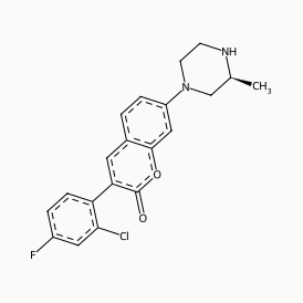 C[C@H]1CN(c2ccc3cc(-c4ccc(F)cc4Cl)c(=O)oc3c2)CCN1